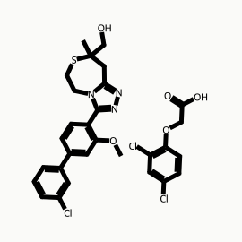 COc1cc(-c2cccc(Cl)c2)ccc1-c1nnc2n1CCSC(C)(CO)C2.O=C(O)COc1ccc(Cl)cc1Cl